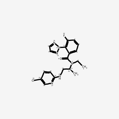 CCN(C(=O)c1cccc(F)c1-n1nccn1)[C@@H](C)CNc1ccc(Cl)cn1